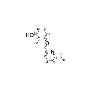 CCc1cccc(COc2cccc(O)c2C)n1